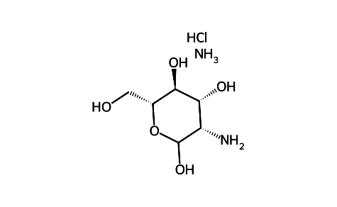 Cl.N.N[C@@H]1C(O)O[C@H](CO)[C@@H](O)[C@@H]1O